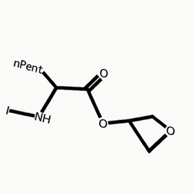 CCCCCC(NI)C(=O)OC1COC1